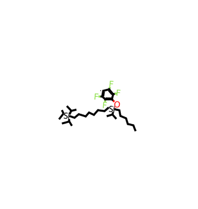 CCCCCC[Si](CCCCCCCC[Si](C(C)C)(C(C)C)C(C)C)(Oc1c(F)c(F)[c]c(F)c1F)C(C)C